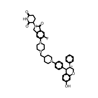 O=C1CCC(N2Cc3cc(N4CCN(CC5CCN(c6ccc(C7c8ccc(O)cc8OC[C@@H]7c7ccccc7)cc6)CC5)CC4)c(F)cc3C2=O)C(=O)N1